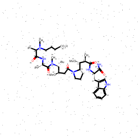 CC[C@H](C)[C@@H]([C@@H](CC(=O)N1CCC[C@H]1[C@H](OC)[C@@H](C)C(=O)N[C@@H](Cc1c[nH]c2ccccc12)C(N)=O)OC)N(C)C(=O)[C@@H](NC(=O)C(C(C)C)N(C)CCCC(=O)O)C(C)C